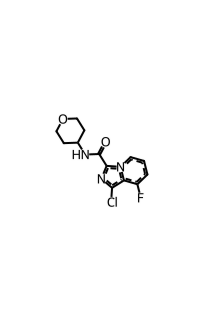 O=C(NC1CCOCC1)c1nc(Cl)c2c(F)cccn12